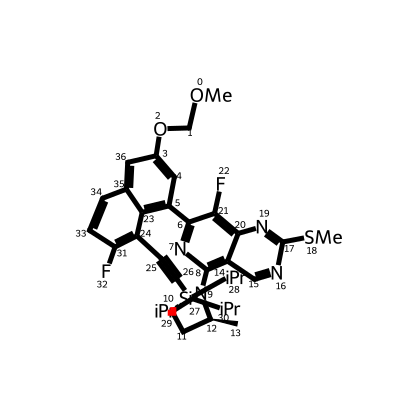 COCOc1cc(-c2nc(N3CC[C@@H]3C)c3cnc(SC)nc3c2F)c2c(C#C[Si](C(C)C)(C(C)C)C(C)C)c(F)ccc2c1